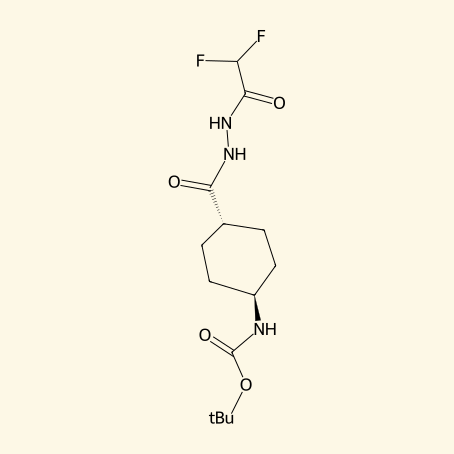 CC(C)(C)OC(=O)N[C@H]1CC[C@H](C(=O)NNC(=O)C(F)F)CC1